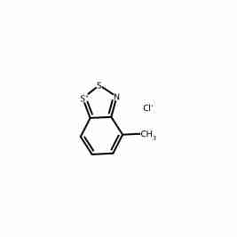 Cc1cccc2[s+]snc12.[Cl-]